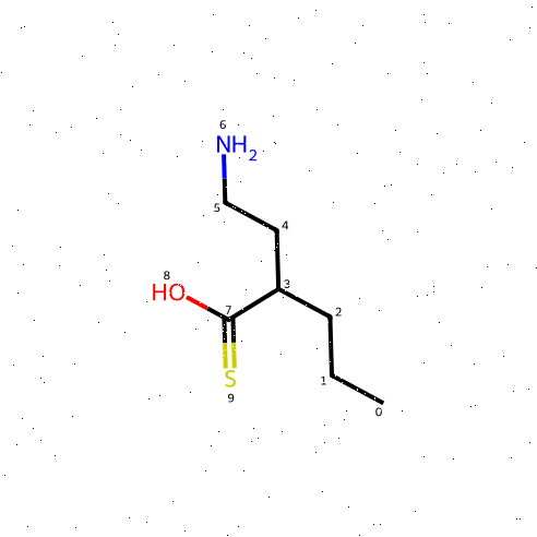 CCCC(CCN)C(O)=S